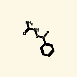 NC(=O)NSN(F)c1ccccc1